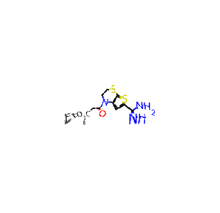 CCOC(=O)CC(=O)N1CCSc2sc(C(=N)N)cc21